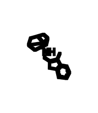 CC1=C(CNC23CC4CC(CC(C4)C2)C3)Cc2ccccc21